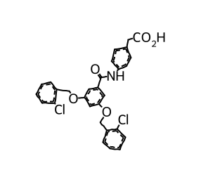 O=C(O)Cc1ccc(NC(=O)c2cc(OCc3ccccc3Cl)cc(OCc3ccccc3Cl)c2)cc1